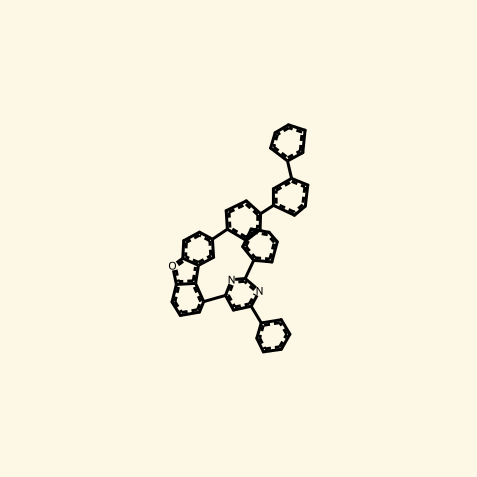 c1ccc(-c2cccc(-c3ccc(-c4ccc5oc6cccc(-c7cc(-c8ccccc8)nc(-c8ccccc8)n7)c6c5c4)cc3)c2)cc1